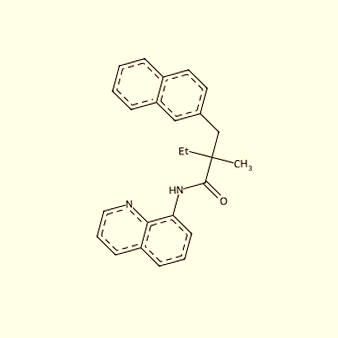 CCC(C)(Cc1ccc2ccccc2c1)C(=O)Nc1cccc2cccnc12